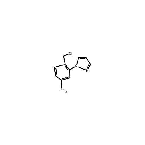 Cc1ccc(CCl)c(-n2cccn2)c1